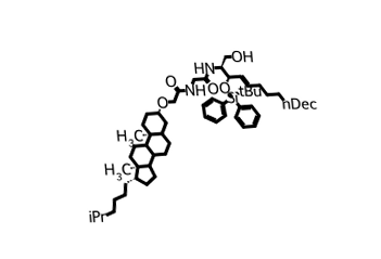 CCCCCCCCCCCCC/C=C/[C@@H](O[Si](c1ccccc1)(c1ccccc1)C(C)(C)C)[C@H](CO)NC(=O)CNC(=O)CO[C@H]1CC[C@@]2(C)C(CCC3C2CC[C@@]2(C)C3CC[C@@H]2CCCCC(C)C)C1